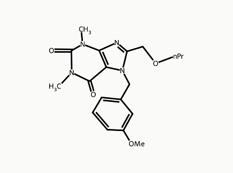 CCCOCc1nc2c(c(=O)n(C)c(=O)n2C)n1Cc1cccc(OC)c1